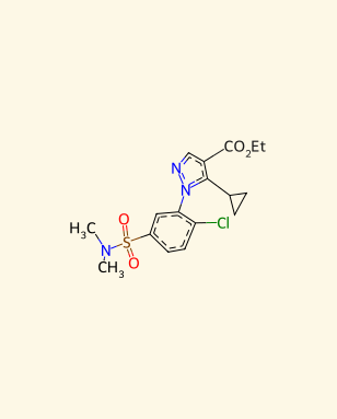 CCOC(=O)c1cnn(-c2cc(S(=O)(=O)N(C)C)ccc2Cl)c1C1CC1